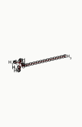 COCCOCCOCCOCCOCCOCCOCCOCCOCCOCCOCCOCCOCCOCCOCCOCCOCCOCCOCCOCCOCCOCCOCCOCCNC(=O)CCCCC[N+]1=C(C=CC=CC=C2N(CCCSOOO)c3ccc(S(=O)(=O)O)cc3C2(C)CCCCCC(=O)OC)C(C)(C)c2cc(SOOO)ccc21